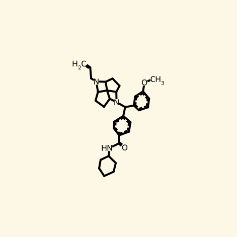 C=CCN1C2CCC3N(C(c4ccc(C(=O)NC5CCCCC5)cc4)c4cccc(OC)c4)C4CCC1C234